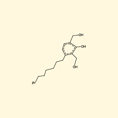 CC(C)CCCCCCc1ccc(CO)c(O)c1CO